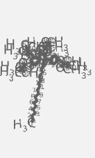 CCCCCCCCCCCCCCCCC=Cn1c(-c2ccc(OC(=O)C(C)(C)C)cc2)c(OC(=O)C(C)(C)C)c(=O)c2c(OC(=O)C(C)(C)C)cc(OC(=O)C(C)(C)C)cc21